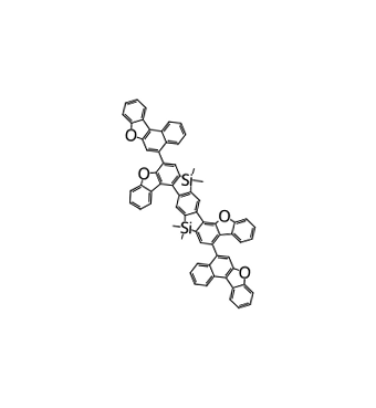 C[Si]1(C)c2cc3c(cc2-c2c1cc(-c1cc4oc5ccccc5c4c4ccccc14)c1c2oc2ccccc21)[Si](C)(C)c1cc(-c2cc4oc5ccccc5c4c4ccccc24)c2oc4ccccc4c2c1-3